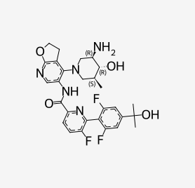 C[C@H]1CN(c2c(NC(=O)c3ccc(F)c(-c4c(F)cc(C(C)(C)O)cc4F)n3)cnc3c2CCO3)C[C@@H](N)[C@@H]1O